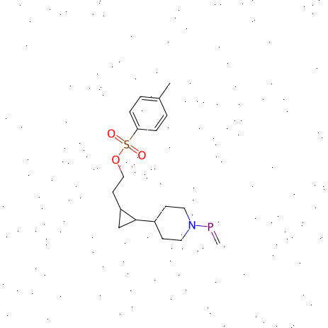 C=PN1CCC(C2CC2CCOS(=O)(=O)c2ccc(C)cc2)CC1